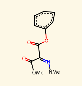 CNN=C(C(=O)OC)C(=O)Oc1ccccc1